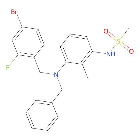 Cc1c(NS(C)(=O)=O)cccc1N(Cc1ccccc1)Cc1ccc(Br)cc1F